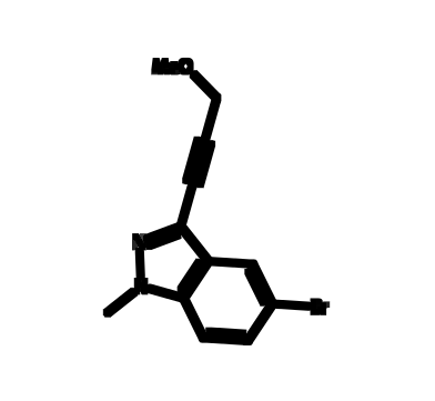 COCC#Cc1nn(C)c2ccc(Br)cc12